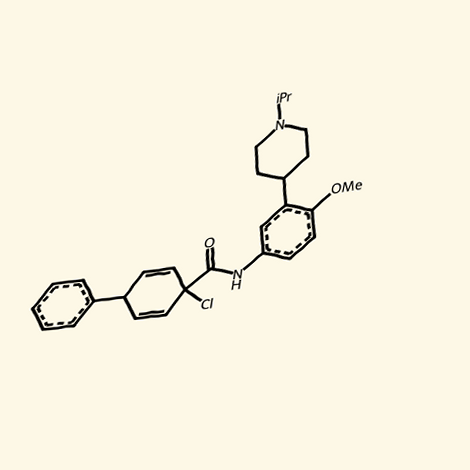 COc1ccc(NC(=O)C2(Cl)C=CC(c3ccccc3)C=C2)cc1C1CCN(C(C)C)CC1